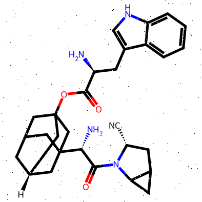 N#C[C@@H]1CC2CC2N1C(=O)[C@@H](N)C12CC3C[C@H](CC(OC(=O)[C@@H](N)Cc4c[nH]c5ccccc45)(C3)C1)C2